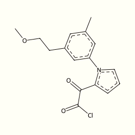 COCCc1cc(C)cc(-n2cccc2C(=O)C(=O)Cl)c1